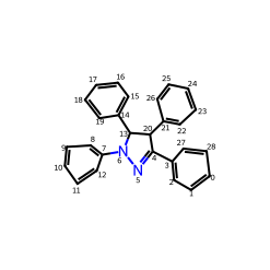 c1ccc(C2=NN(c3ccccc3)C(c3ccccc3)C2c2ccccc2)cc1